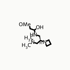 COCC(O)NC[C@H](CN(C)C)N1CCC1